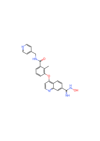 Cc1c(Oc2ccnc3cc(C(=N)NO)ccc23)cccc1C(=O)NCc1ccncc1